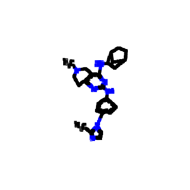 Cc1nccn1-c1ccc(Nc2nc3c(c(N[C@@H]4CC5CCC4C5)n2)CN(C)CC3)cc1